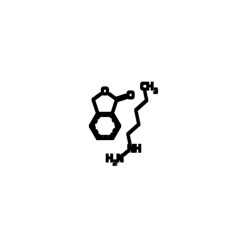 CCCCCNN.O=C1OCc2ccccc21